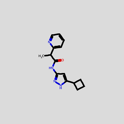 CC(C(=O)Nc1cc(C2C[CH]C2)[nH]n1)c1ccccn1